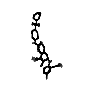 Cc1cc(F)ccc1Oc1cc2cnc(NC3CCN(S(=O)(=O)c4ccccc4)CC3)nc2n(C)c1=O